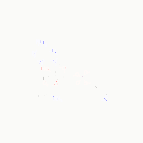 CC(C)[C@H](N)C(=O)O[C@@H]1[C@@H](CO[P@@]2(=O)OCC[C@@H](c3ccncc3)O2)O[C@@H](n2cnc3c(N)ncnc32)[C@]1(C)O